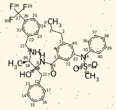 CCCc1cc(C(=O)N[C@](O)(Cc2ccccc2)[C@@H](C)NCc2cccc(C(F)(F)F)c2)cc(N(c2ccccc2)S(C)(=O)=O)c1